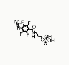 [N-]=[N+]=Nc1c(F)c(F)c(C(=O)NCCCOP(=O)(O)O)c(F)c1F